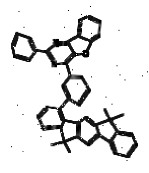 CC1(C)c2ccccc2-c2cc3c(cc21)-c1c(-c2cccc(-c4nc(-c5ccccc5)nc5c4oc4ccccc45)c2)cccc1C3(C)C